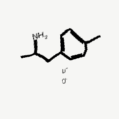 Cc1ccc(CC(C)N)cc1.[Cl-].[Li+]